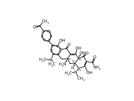 CC(=O)c1ccc(-c2cc(N(C)C)c3c(c2O)C(=O)C2=C(O)[C@]4(O)C(=O)C(C(N)=O)=C(O)[C@@H](N(C)C)[C@@H]4C[C@]2(N)C3)cc1